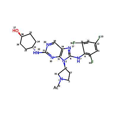 CC(=O)N1CC[C@H](n2c(Nc3c(F)cc(F)cc3F)nc3cnc(N[C@H]4CC[C@H](O)CC4)nc32)C1